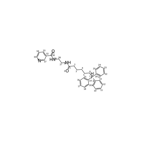 O=C(CCCCC[PH](c1ccccc1)(c1ccccc1)c1ccccc1)NCCNC(=O)c1cccnc1